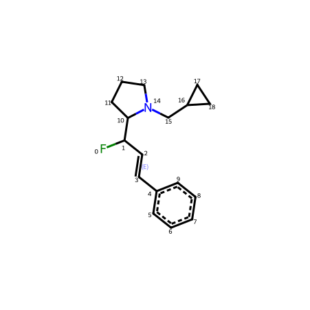 FC(/C=C/c1ccccc1)C1CCCN1CC1CC1